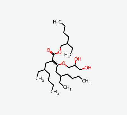 CCCCC(CC)COC(=O)C(CC(CC)CCCC)=C(CC(CC)CCCC)OCC(O)CO